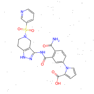 NC(=O)c1ccc(-n2cccc2C(=O)O)cc1C(=O)Nc1n[nH]c2c1CN(S(=O)(=O)c1cccnc1)CC2